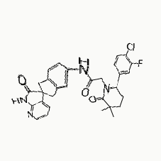 CC1(C)CCC(c2ccc(Cl)c(F)c2)N(CC(=O)Nc2ccc3c(c2)CC2(C3)C(=O)Nc3ncccc32)C1=O